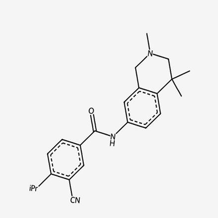 CC(C)c1ccc(C(=O)Nc2ccc3c(c2)CN(C)CC3(C)C)cc1C#N